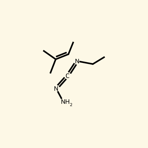 CC=C(C)C.CCN=C=NN